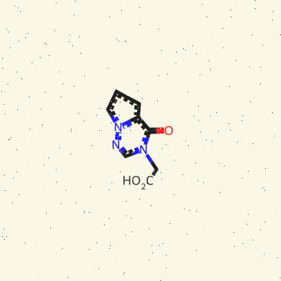 O=C(O)Cn1cnn2cccc2c1=O